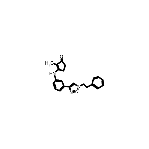 CC1=C(Nc2cccc(-c3cn(CCc4ccccc4)nn3)c2)CCC1=O